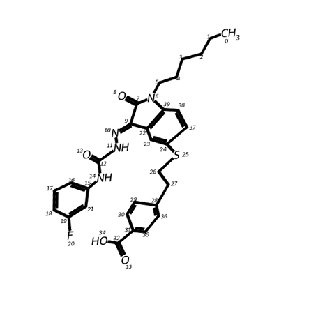 CCCCCCN1C(=O)/C(=N/NC(=O)Nc2cccc(F)c2)c2cc(SCCc3ccc(C(=O)O)cc3)ccc21